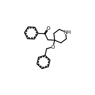 O=C(CC1(OCc2ccccc2)CCNCC1)c1ccccc1